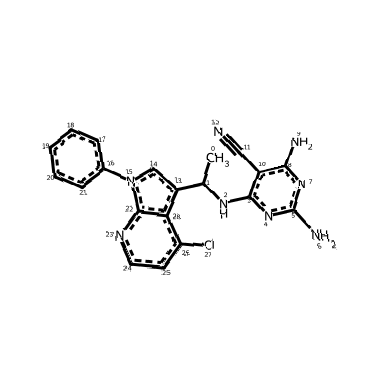 CC(Nc1nc(N)nc(N)c1C#N)c1cn(-c2ccccc2)c2nccc(Cl)c12